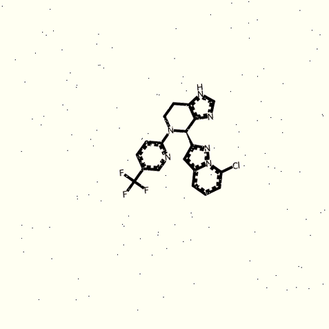 FC(F)(F)c1ccc(N2CCc3[nH]cnc3[C@H]2c2cc3cccc(Cl)n3n2)nc1